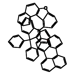 c1ccc(-c2cccc3cccc(-c4ccc(N(c5ccccc5C5(c6ccccc6)c6ccccc6-c6ccccc65)c5cccc6oc7ccc8ccccc8c7c56)cc4)c23)cc1